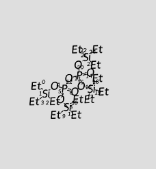 CC[Si](CC)(CC)OP(=O)(O[Si](CC)(CC)CC)OP(=O)(O[Si](CC)(CC)CC)O[Si](CC)(CC)CC